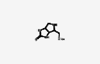 CCCCCCCC1NCC2NC(=O)NC12